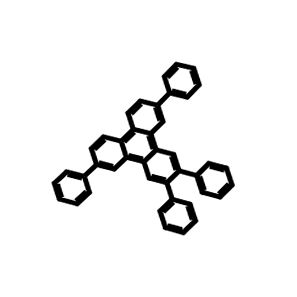 c1ccc(-c2ccc3c4ccc(-c5ccccc5)cc4c4cc(-c5ccccc5)c(-c5ccccc5)cc4c3c2)cc1